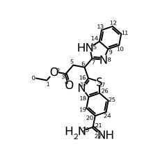 CCOC(=O)CC(c1nc2ccccc2[nH]1)c1nc2cc(C(=N)N)ccc2s1